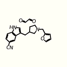 N#Cc1ccc2[nH]cc(CC3CCN(Cc4ccco4)C3)c2c1.O=CC=O